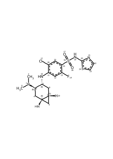 CN(C)[C@@H]1C[C@H]2C[C@H]2C[C@H]1Nc1cc(F)c(S(=O)(=O)Nc2nccs2)cc1Cl